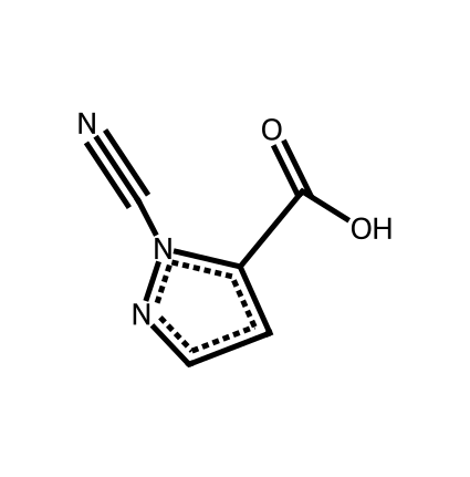 N#Cn1nccc1C(=O)O